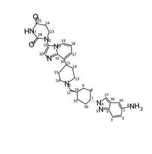 Nc1ccc2nn([C@H]3CC[C@H](CN4CCC(c5cccn6c(N7CCC(=O)NC7=O)cnc56)CC4)CC3)cc2c1